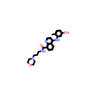 Cc1ccc(O)cc1Nc1ccnc2c(C(=O)NCCCN3CCOCC3)cccc12